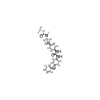 CC(C)CC(=O)N(C)C1CCN(c2ccc(NC(=O)Nc3ccc(Oc4ccccc4)cc3)cc2)C1